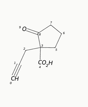 C#CCC1(C(=O)O)CCCC1=O